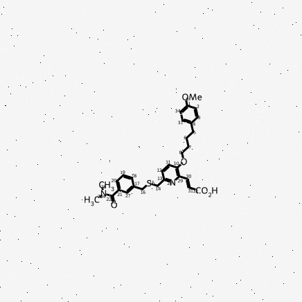 COc1ccc(CCCCOc2ccc(CSCc3cccc(C(=O)N(C)C)c3)nc2C=CC(=O)O)cc1